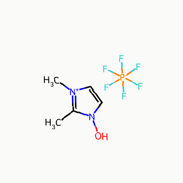 Cc1n(O)cc[n+]1C.F[P-](F)(F)(F)(F)F